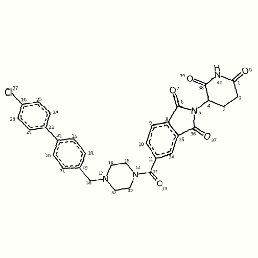 O=C1CCC(N2C(=O)c3ccc(C(=O)N4CCN(Cc5ccc(-c6ccc(Cl)cc6)cc5)CC4)cc3C2=O)C(=O)N1